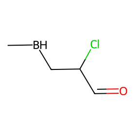 CBCC(Cl)C=O